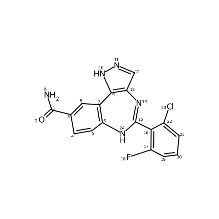 NC(=O)c1ccc2c(c1)-c1[nH]ncc1N=C(c1c(F)cccc1Cl)N2